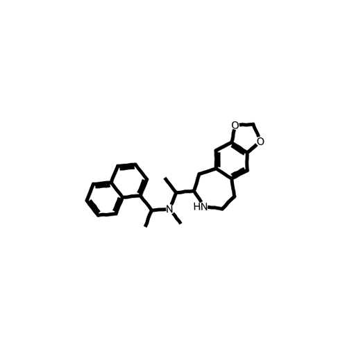 CC(c1cccc2ccccc12)N(C)C(C)C1Cc2cc3c(cc2CCN1)OCO3